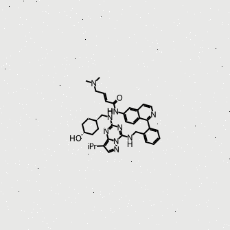 CC(C)c1cnn2c(NCc3ccccc3-c3nccc4cc(NC(=O)/C=C/CN(C)C)ccc34)nc(NC[C@H]3CC[C@H](O)CC3)nc12